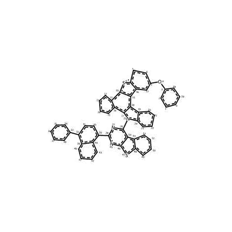 c1ccc(Oc2ccc3sc4c5ccccc5c5c(c6ccccc6n5-c5nc(-c6ccc(-c7ccccc7)c7ccccc67)nc6sc7ccccc7c56)c4c3c2)cc1